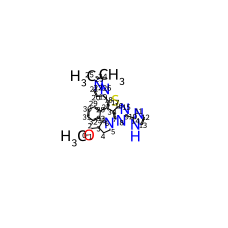 COCC1CCN(c2nc(-c3ncc[nH]3)nc3sc(-c4ccn(C(C)C)n4)c(-c4ccccc4)c23)C1